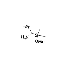 CCCC(N)[Si](C)(C)OC